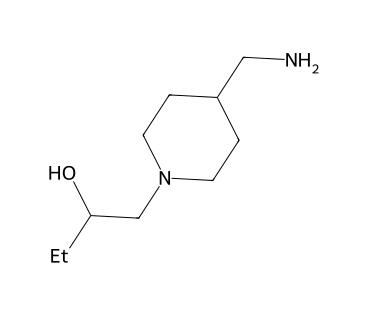 CCC(O)CN1CCC(CN)CC1